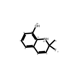 CC1(F)C=Cc2cccc(O)c2N1